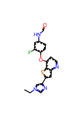 CCn1cnc(-c2cc3nccc(Oc4ccc(NC=O)cc4F)c3s2)c1